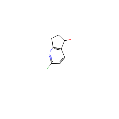 OC1CCc2nc(Cl)ccc21